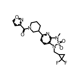 CN1c2nc(C3CCCN(C(=O)c4ccon4)C3)ccc2N(CC2CC2(F)F)S1(=O)=O